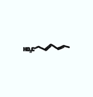 CC=CC=CCC(=O)O